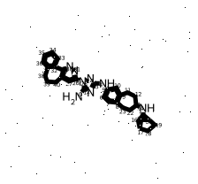 Nc1nc(Nc2ccc3c(c2)CCC(NC2CC4CCC2C4)CC3)nn1-c1cc2c(nn1)-c1ccccc1CCC2